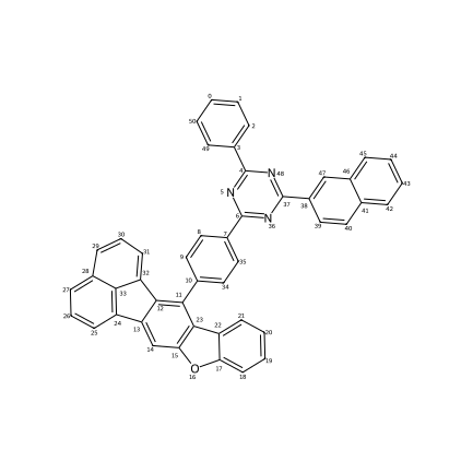 c1ccc(-c2nc(-c3ccc(-c4c5c(cc6oc7ccccc7c46)-c4cccc6cccc-5c46)cc3)nc(-c3ccc4ccccc4c3)n2)cc1